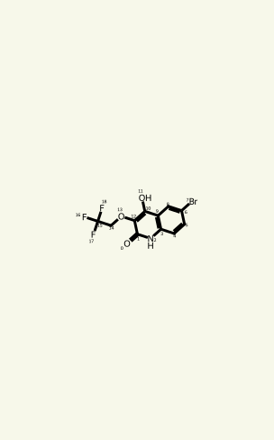 O=c1[nH]c2ccc(Br)cc2c(O)c1OCC(F)(F)F